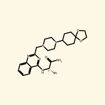 CC(C)[C@H](Nc1nc(CN2CCN(C3CCC4(CC3)OCCO4)CC2)nc2ccccc12)C(N)=O